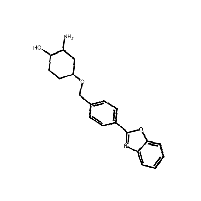 NC1CC(OCc2ccc(-c3nc4ccccc4o3)cc2)CCC1O